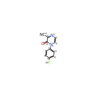 N#Cc1nccn(-c2ccc(F)cc2)c1=O